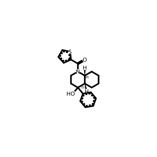 O=C(c1cccs1)N1CCC(O)(c2ccccc2)[C@H]2CCCC[C@H]21